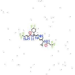 O=C(CCC(F)(F)F)NC(c1cnn2cc([C@@H](NC(=O)c3cc(C(F)(F)F)ncn3)C3CCC(F)(F)CC3)nc2c1)C1CC1